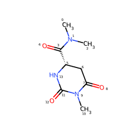 CN(C)C(=O)[C@@H]1CC(=O)N(C)C(=O)N1